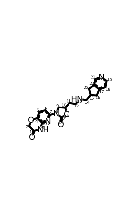 O=C1COc2ccc(N3CC(CCNCC4Cc5ccncc5C4)OC3=O)nc2N1